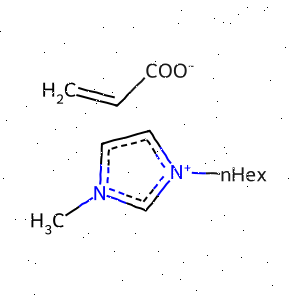 C=CC(=O)[O-].CCCCCC[n+]1ccn(C)c1